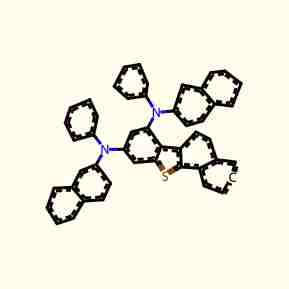 c1ccc(N(c2ccc3ccccc3c2)c2cc(N(c3ccccc3)c3ccc4ccccc4c3)c3c(c2)sc2c4ccccc4ccc23)cc1